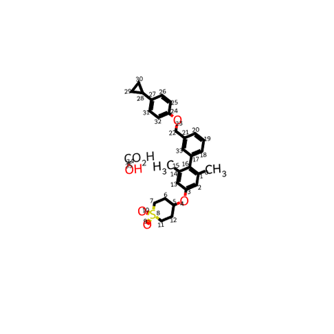 Cc1cc(OC2CCS(=O)(=O)CC2)cc(C)c1-c1cccc(COc2ccc(C3CC3)cc2)c1.O=C(O)O